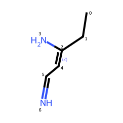 CC/C(N)=C/C=N